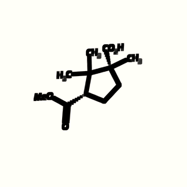 COC(=O)[C@H]1CC[C@@](C)(C(=O)O)C1(C)C